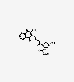 COC(=O)[C@@H]1C[C@@H](O)CN1C(=O)CCCC1=C(C)C(=O)c2ccccc2C1=O